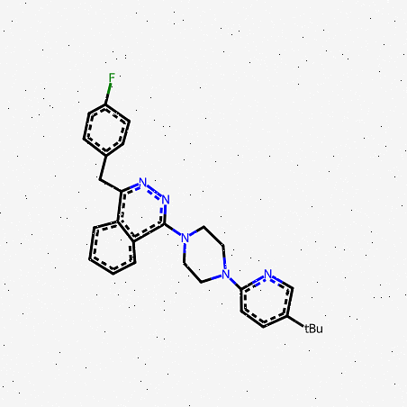 CC(C)(C)c1ccc(N2CCN(c3nnc(Cc4ccc(F)cc4)c4ccccc34)CC2)nc1